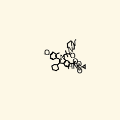 COc1ccc(-c2c(C3CCCCC3)c3ccc(C(=O)NS(=O)(=O)C4CC4)cc3n2CC(C)(C)C(=O)N2CCCN(C)CC2)c(C)c1